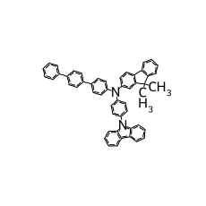 CC1(C)c2ccccc2-c2ccc(N(c3ccc(-c4ccc(-c5ccccc5)cc4)cc3)c3ccc(-n4c5ccccc5c5ccccc54)cc3)cc21